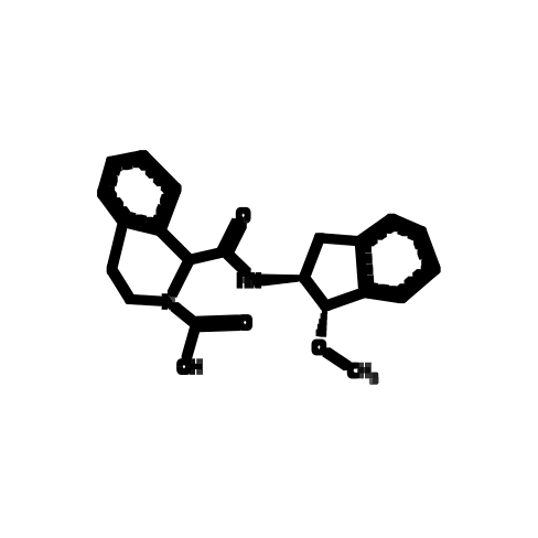 CO[C@H]1c2ccccc2C[C@@H]1NC(=O)C1c2ccccc2CCN1C(=O)O